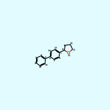 c1ccc(-c2ccc(C3CCCO3)cc2)cc1